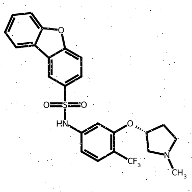 CN1CC[C@@H](Oc2cc(NS(=O)(=O)c3ccc4oc5ccccc5c4c3)ccc2C(F)(F)F)C1